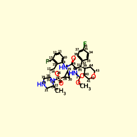 COC(=O)N[C@H](C(=O)Nc1cccc(F)c1CC[C@H]1CNC[C@H](C)N1S(=O)(=O)C1CC1)[C@@H](c1ccc(F)cc1)C1CCOCC1